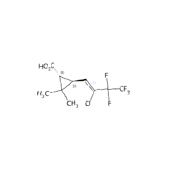 CC1(C)[C@H](/C=C(\Cl)C(F)(F)C(F)(F)F)[C@H]1C(=O)O